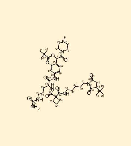 CN1CCN(C(=O)C(OC(=O)C(C)(C)C)c2ccc(NC(=O)[C@H](CCCNC(N)=O)NC(=O)C3(C(=O)NCCCCCN4C(=O)CC(C(C)(C)C)C4=O)CCC3)cc2)CC1